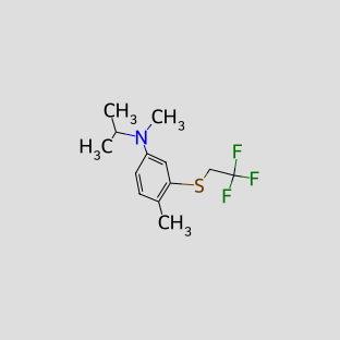 Cc1ccc(N(C)C(C)C)cc1SCC(F)(F)F